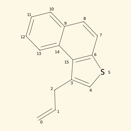 C=CCc1csc2ccc3ccccc3c12